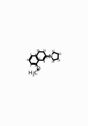 COc1cccc2c1C=C(N1CCCC1)CC2